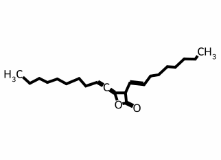 CCCCCCCC=CC1C(=O)OC1=C=CCCCCCCCC